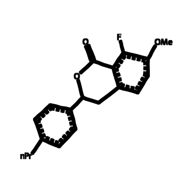 CCCc1ccc(C2Cc3ccc(OC)c(F)c3C(=O)O2)cc1